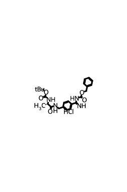 C[C@H](NC(=O)OC(C)(C)C)C(=O)NCc1ccc(C(=N)NC(=O)OCc2ccccc2)cc1.Cl